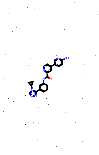 Nc1ccc(-c2ccnc(C(=O)NC3=CC(c4nncn4C4CC4)=CCC3)c2)cn1